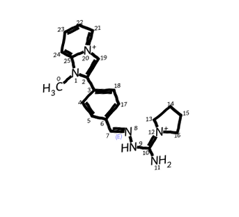 Cn1c(-c2ccc(/C=N/NC(N)=[N+]3CCCC3)cc2)c[n+]2ccccc12